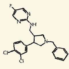 Fc1cnc(NCC2CN(Cc3ccccc3)CC2c2ccc(Cl)c(Cl)c2)nc1